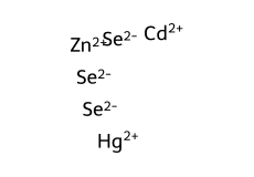 [Cd+2].[Hg+2].[Se-2].[Se-2].[Se-2].[Zn+2]